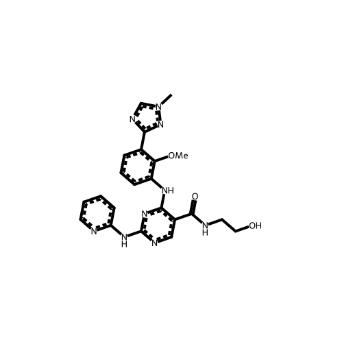 COc1c(Nc2nc(Nc3ccccn3)ncc2C(=O)NCCO)cccc1-c1ncn(C)n1